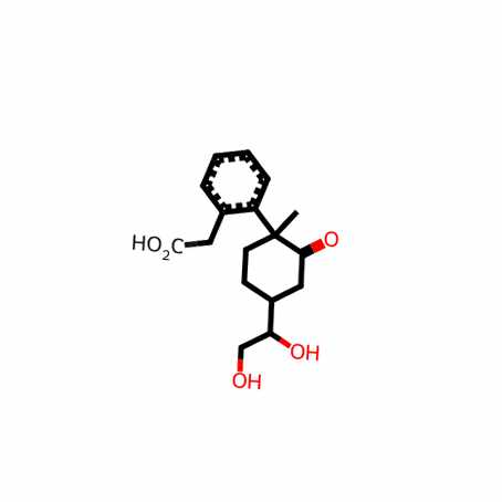 CC1(c2ccccc2CC(=O)O)CCC(C(O)CO)CC1=O